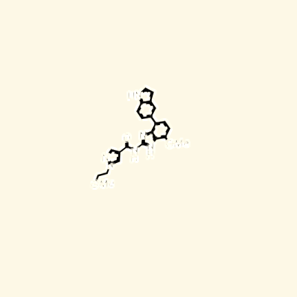 COCCn1cc(C(=O)Nc2nc3c(-c4ccc5[nH]ccc5c4)ccc(OC)c3[nH]2)cn1